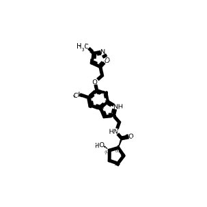 Cc1cc(COc2cc3[nH]c(CNC(=O)[C@H]4CCC[C@@H]4O)cc3cc2Cl)on1